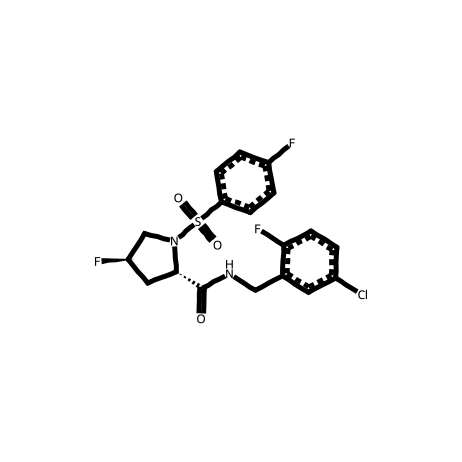 O=C(NCc1cc(Cl)ccc1F)[C@@H]1C[C@@H](F)CN1S(=O)(=O)c1ccc(F)cc1